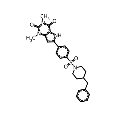 Cn1c(=O)c2[nH]c(-c3ccc(S(=O)(=O)N4CCC(Cc5ccccc5)CC4)cc3)cc2n(C)c1=O